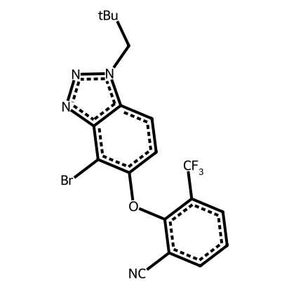 CC(C)(C)Cn1nnc2c(Br)c(Oc3c(C#N)cccc3C(F)(F)F)ccc21